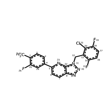 Cc1ccc(-c2ccc3nnn(Cc4c(F)ccc(F)c4Cl)c3n2)cc1F